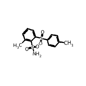 Cc1ccc(S(=O)(=O)c2cccc(C)c2S(N)(=O)=O)cc1